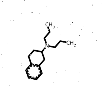 CCCN(CCC)C1CCc2ccccc2C1